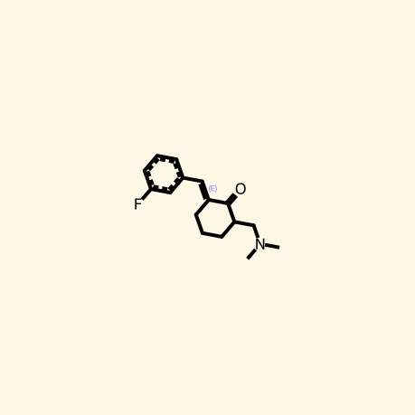 CN(C)CC1CCC/C(=C\c2cccc(F)c2)C1=O